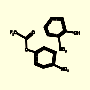 O=C(Oc1ccc([N+](=O)[O-])cc1)C(F)(F)F.O=[N+]([O-])c1ccccc1O